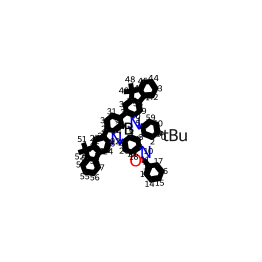 CC(C)(C)c1ccc(N2B3c4cc5nc(-c6ccccc6)oc5cc4-n4c5cc6c(cc5c5ccc(c3c54)-c3cc4c(cc32)-c2ccccc2C4(C)C)C(C)(C)c2ccccc2-6)cc1